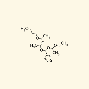 CCCCOC(C)OC(C)OC(OC(C)OCC)c1ccsc1